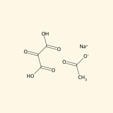 CC(=O)[O-].O=C(O)C(=O)C(=O)O.[Na+]